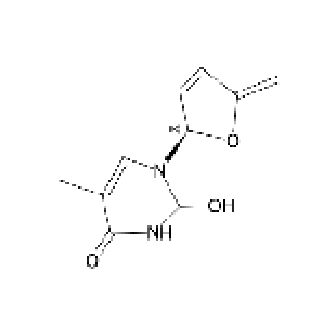 C=C1C=C[C@H](N2C=C(C)C(=O)NC2O)O1